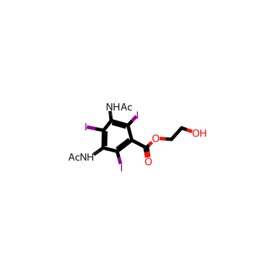 CC(=O)Nc1c(I)c(NC(C)=O)c(I)c(C(=O)OCCO)c1I